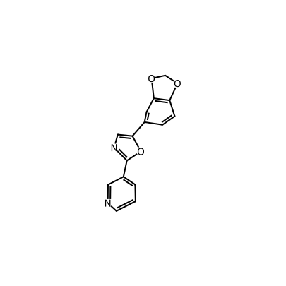 c1cncc(-c2ncc(-c3ccc4c(c3)OCO4)o2)c1